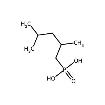 CC(C)CC(C)CP(=O)(O)O